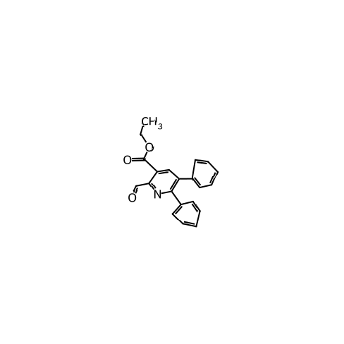 CCOC(=O)c1cc(-c2ccccc2)c(-c2ccccc2)nc1C=O